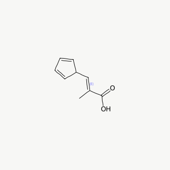 C/C(=C\C1C=CC=C1)C(=O)O